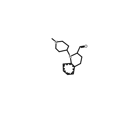 CN1CCC(N2c3ccccc3CCC2C=O)CC1